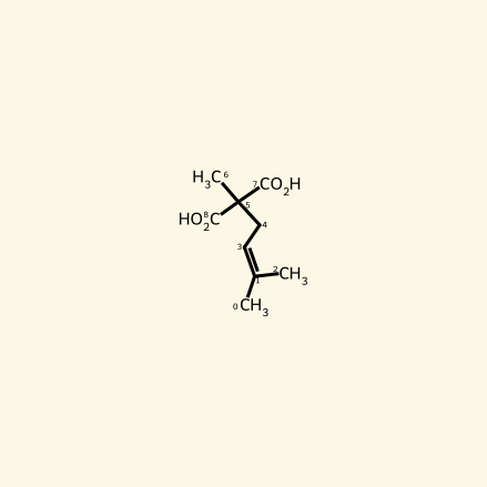 CC(C)=CCC(C)(C(=O)O)C(=O)O